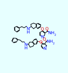 NC(=O)c1cnccc1Oc1ccc2c(c1)CC(NCCCc1ccccc1)CC2.NC(=O)c1cnccc1Oc1ccc2c(c1)CCC(NCCCc1ccccc1)C2